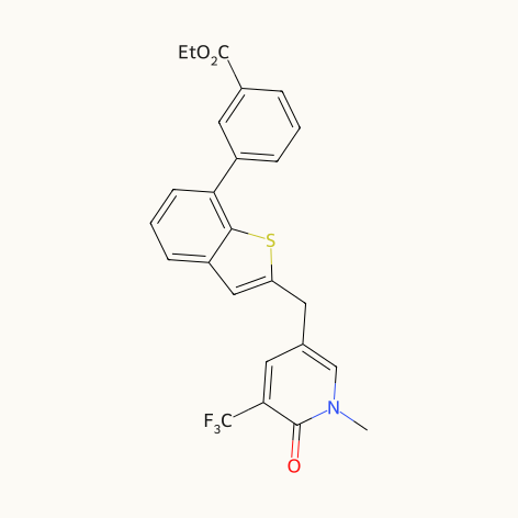 CCOC(=O)c1cccc(-c2cccc3cc(Cc4cc(C(F)(F)F)c(=O)n(C)c4)sc23)c1